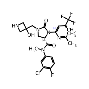 C=C(/C=C(\N=C(C)C)N1C(=O)N(CC2(O)CNC2)C[C@H]1C(=O)N(C)c1ccc(F)c(Cl)c1)C(F)(F)F